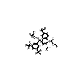 CCOC(=O)N1c2ccc(C(F)(F)F)cc2C([C@H](COC(C)=O)c2cc(C(F)(F)F)cc(C(F)(F)F)c2)=C[C@H]1CC